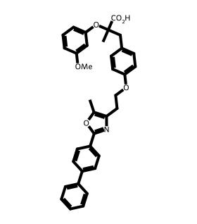 COc1cccc(OC(C)(Cc2ccc(OCCc3nc(-c4ccc(-c5ccccc5)cc4)oc3C)cc2)C(=O)O)c1